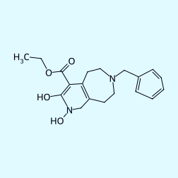 CCOC(=O)C1=C(O)N(O)CC2=C1CCN(Cc1ccccc1)CC2